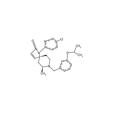 CC(C)Oc1cccc(CN2CC[C@]3(C=CC(=O)N3c3ccc(Cl)cn3)C[C@@H]2C)c1